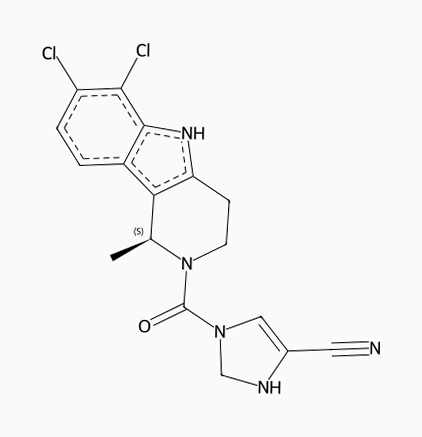 C[C@H]1c2c([nH]c3c(Cl)c(Cl)ccc23)CCN1C(=O)N1C=C(C#N)NC1